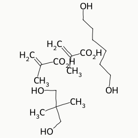 C=C(C)C(=O)O.C=C(C)C(=O)O.CC(C)(CO)CO.OCCCCCCO